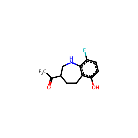 O=C(C1CCc2c(O)ccc(F)c2NC1)C(F)(F)F